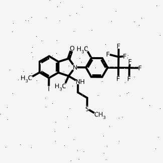 CSCCNC1(C)c2c(ccc(C)c2I)C(=O)N1c1ccc(C(F)(C(F)(F)F)C(F)(F)F)cc1C